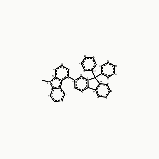 Cn1c2ccccc2c2c(-c3ccc4c(c3)C(c3ccccc3)(c3ccccc3)c3ccccc3-4)cccc21